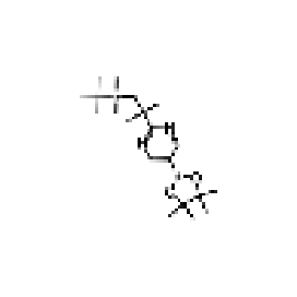 CC(C)(CS(C)(C)C(C)(C)C)c1ncc(B2OC(C)(C)C(C)(C)O2)cn1